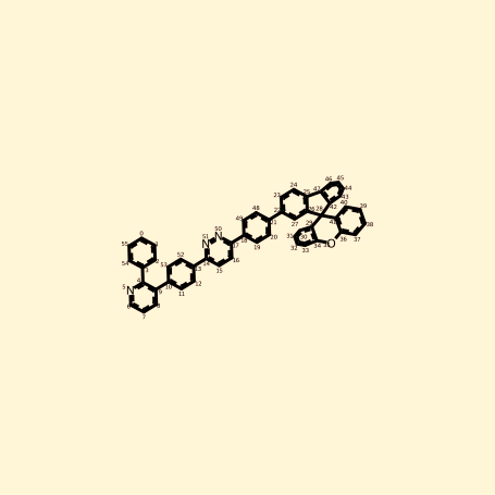 c1ccc(-c2ncccc2-c2ccc(-c3ccc(-c4ccc(-c5ccc6c(c5)C5(c7ccccc7Oc7ccccc75)c5ccccc5-6)cc4)nn3)cc2)cc1